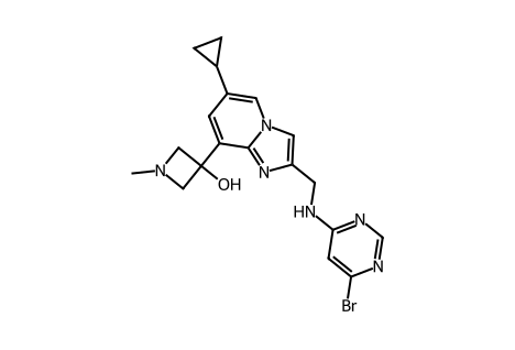 CN1CC(O)(c2cc(C3CC3)cn3cc(CNc4cc(Br)ncn4)nc23)C1